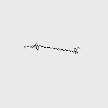 CCCCCCCOC(=O)CCCCCCCCCCCCCCCCCCCCCCC(=O)OC(C)C